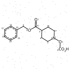 O=C(O)ON1CCC(C(=O)OCc2ccccc2)CC1